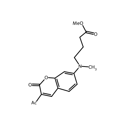 COC(=O)CCCN(C)c1ccc2cc(C(C)=O)c(=O)oc2c1